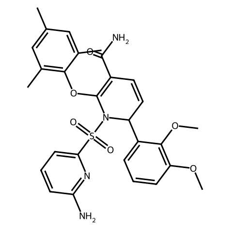 COc1cccc(C2C=CC(C(N)=O)=C(Oc3c(C)cc(C)cc3C)N2S(=O)(=O)c2cccc(N)n2)c1OC